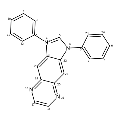 c1ccc(-n2c[n+](-c3ccccc3)c3cc4nccnc4cc32)cc1